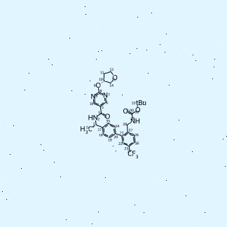 C[C@@H](NC(=O)c1cnc(O[C@@H]2CCOC2)nc1)c1ccc(-c2cc(C(F)(F)F)ccc2CNC(=O)OC(C)(C)C)cc1